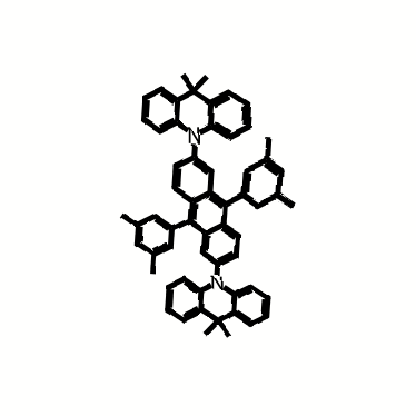 CC1=CC(C)CC(c2c3cc(N4c5ccccc5C(C)(C)c5ccccc54)ccc3c(-c3cc(C)cc(C)c3)c3cc(N4c5ccccc5C(C)(C)c5ccccc54)ccc23)=C1